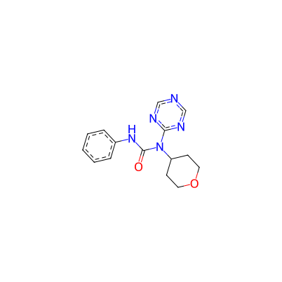 O=C(Nc1ccccc1)N(c1ncncn1)C1CCOCC1